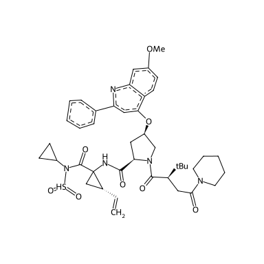 C=C[C@@H]1CC1(NC(=O)[C@H]1C[C@@H](Oc2cc(-c3ccccc3)nc3cc(OC)ccc23)CN1C(=O)[C@H](CC(=O)N1CCCCC1)C(C)(C)C)C(=O)N(C1CC1)[SH](=O)=O